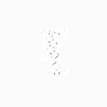 C=C(C)[C@@H]1CC[C@]2(N)CC[C@]3(C)[C@H](CC[C@@H]4[C@@]5(C)CC=C(C6=CCC(C(=O)O)(C(=O)O)CC6)C(C)(C)[C@@H]5CC[C@]43C)[C@@H]12